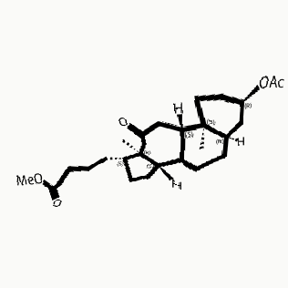 COC(=O)CCC[C@H]1CC[C@H]2C3CC[C@@H]4C[C@H](OC(C)=O)CC[C@]4(C)[C@H]3CC(=O)[C@]12C